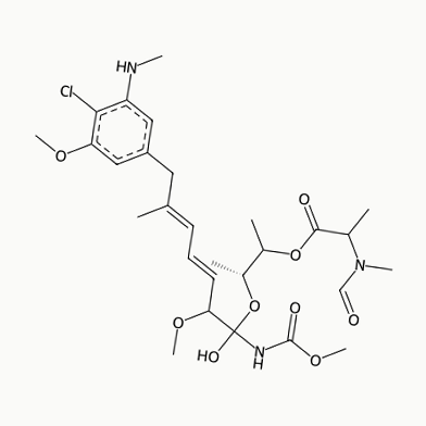 CNc1cc(C/C(C)=C/C=C/C(OC)C(O)(NC(=O)OC)O[C@H](C)C(C)OC(=O)C(C)N(C)C=O)cc(OC)c1Cl